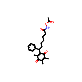 CC(=O)ONC(=O)CCCCCC(C1=C(C)C(=O)C(C)=C(C)C1=O)c1ccccc1